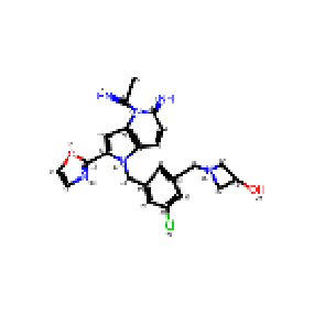 CC(=N)n1c(=N)ccc2c1cc(-c1ncco1)n2Cc1cc(Cl)cc(CN2CC(O)C2)c1